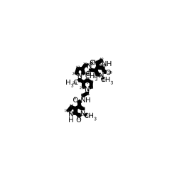 CC1CCN(CCNC(=O)c2cn(C)c(=O)c3[nH]ccc23)CC1C(C)N1CCC(CN(C)C(=O)c2cn(C)c(=O)c3[nH]ccc23)C1